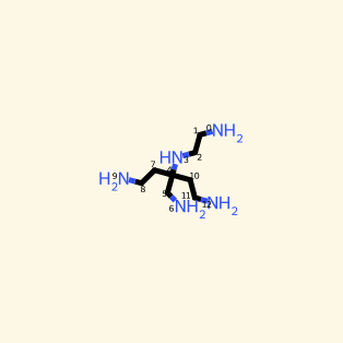 NCCNC(CN)(CCN)CCN